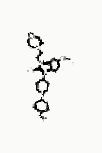 Cc1ccc2c(c1)n(CCN1CCOCC1)c(=O)n2C1CCN(C2CCC(C(C)C)CC2)CC1